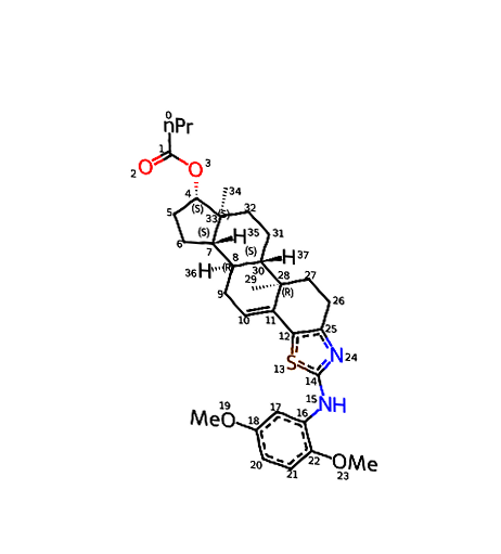 CCCC(=O)O[C@H]1CC[C@H]2[C@@H]3CC=C4c5sc(Nc6cc(OC)ccc6OC)nc5CC[C@]4(C)[C@H]3CC[C@]12C